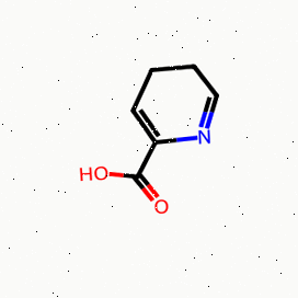 O=C(O)C1=CCCC=N1